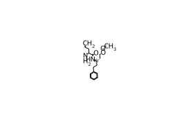 C=CCC(N)C(=O)N[C@H](CCOOC)CCc1ccccc1